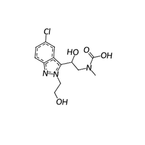 CN(CC(O)c1c2cc(Cl)ccc2nn1CCO)C(=O)O